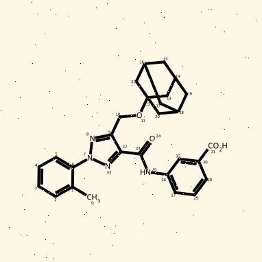 Cc1ccccc1-n1nc(COC23CC4CC(CC(C4)C2)C3)c(C(=O)Nc2cccc(C(=O)O)c2)n1